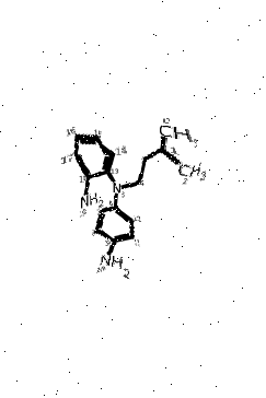 CC(C)CCN(c1ccc(N)cc1)c1ccccc1N